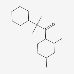 CC1CCC(C(=O)C(C)(C)C2CCCCC2)C(C)C1